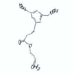 C=CCOC(=O)CCc1cc(C(C)(C)C)cc(C(C)(C)C)c1